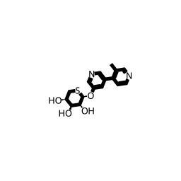 Cc1cnccc1-c1cncc(O[C@H]2SC[C@@H](O)[C@H](O)[C@H]2O)c1